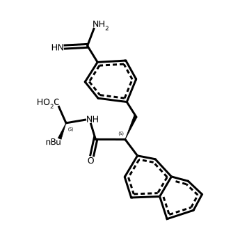 CCCC[C@H](NC(=O)[C@@H](Cc1ccc(C(=N)N)cc1)c1ccc2ccccc2c1)C(=O)O